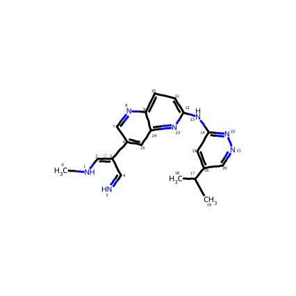 CN/C=C(\C=N)c1cnc2ccc(Nc3cc(C(C)C)cnn3)nc2c1